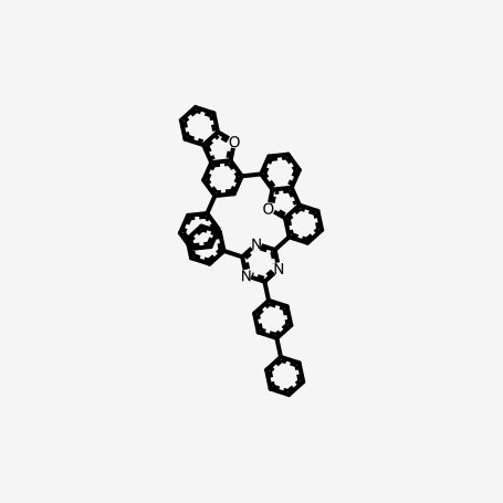 c1ccc(-c2ccc(-c3nc(-c4ccccc4)nc(-c4cccc5c4oc4c(-c6cc(-c7ccccc7)cc7c6oc6ccccc67)cccc45)n3)cc2)cc1